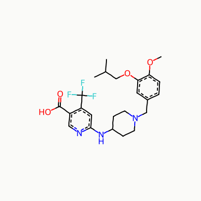 COc1ccc(CN2CCC(Nc3cc(C(F)(F)F)c(C(=O)O)cn3)CC2)cc1OCC(C)C